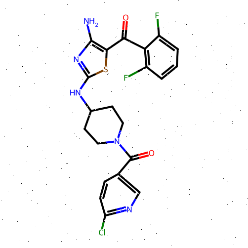 Nc1nc(NC2CCN(C(=O)c3ccc(Cl)nc3)CC2)sc1C(=O)c1c(F)cccc1F